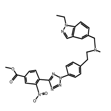 CCn1ncc2cc(CN(C)CCc3ccc(-n4nnc(-c5ccc(C(=O)OC)cc5[N+](=O)[O-])n4)cc3)ccc21